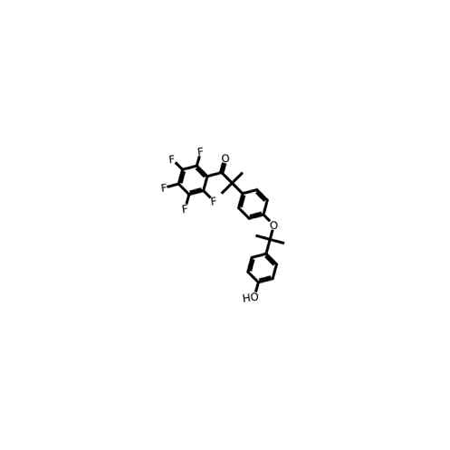 CC(C)(Oc1ccc(C(C)(C)C(=O)c2c(F)c(F)c(F)c(F)c2F)cc1)c1ccc(O)cc1